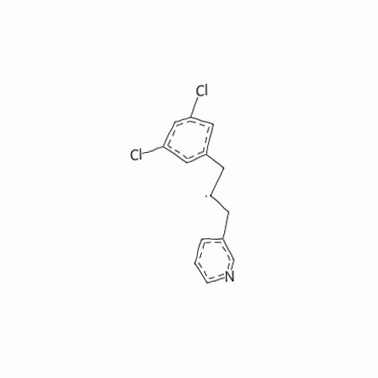 Clc1cc(Cl)cc(C[CH]Cc2cccnc2)c1